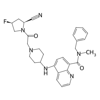 CN(Cc1ccccc1)C(=O)c1ccc(NC2CCN(CC(=O)N3C[C@@H](F)C[C@H]3C#N)CC2)c2cccnc12